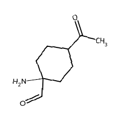 CC(=O)C1CCC(N)(C=O)CC1